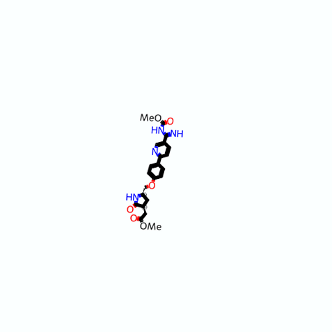 COC(=O)C[C@@H]1C[C@@H](COc2ccc(-c3ccc(C(=N)NC(=O)OC)cn3)cc2)NC1=O